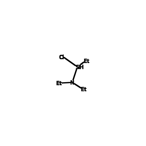 CCN(CC)[SiH](Cl)CC